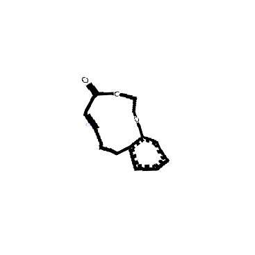 O=C1/C=C/CCc2ccccc2OCC1